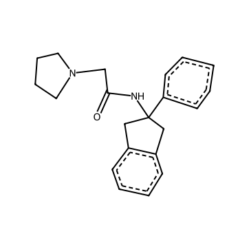 O=C(CN1CCCC1)NC1(c2ccccc2)Cc2ccccc2C1